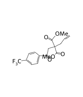 C=CCC(CC(=O)c1ccc(C(F)(F)F)cc1)(C(=O)OC)C(=O)OC